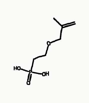 C=C(C)COCCP(=O)(O)O